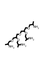 CC(N)COCC(COCC(COCC(C)N)OCC(C)N)OCC(C)N